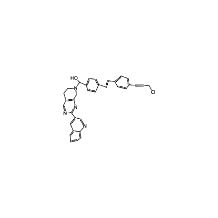 OC(c1ccc(/C=C/c2ccc(C#CCCl)cc2)cc1)N1CCc2cnc(-c3cnc4ccccc4c3)nc2C1